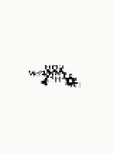 CNn1c(C2CC2)nn(C(=O)NC(C)CCc2ccc(Cl)cc2)c1=O